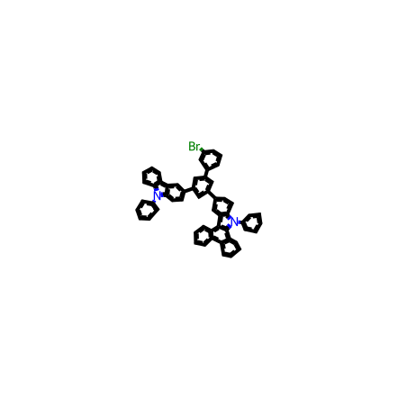 Brc1cccc(-c2cc(-c3ccc4c(c3)c3ccccc3n4-c3ccccc3)cc(-c3ccc4c(c3)c3c5ccccc5c5ccccc5c3n4-c3ccccc3)c2)c1